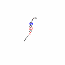 C=CCCCCCCCCOc1ccc(C(=O)Oc2ccc(-c3ncc(CCCCC(C)CC)cn3)cc2)cc1